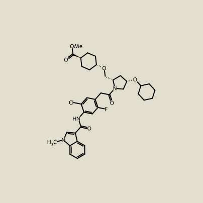 COC(=O)[C@H]1CC[C@H](OC[C@@H]2C[C@H](OC3CCCCC3)CN2C(=O)Cc2cc(Cl)c(NC(=O)c3cn(C)c4ccccc34)cc2F)CC1